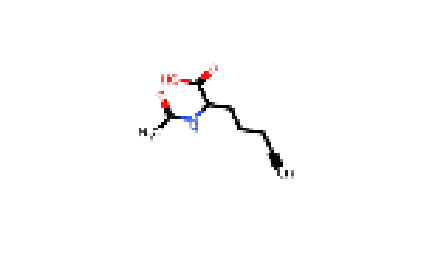 C#CCCCC(NC(C)=O)C(=O)O